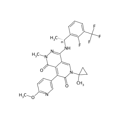 COc1ccc(-c2c(=O)n(C3(C)CC3)cc3c(N[C@H](C)c4cccc(C(F)(F)F)c4F)nn(C)c(=O)c23)cn1